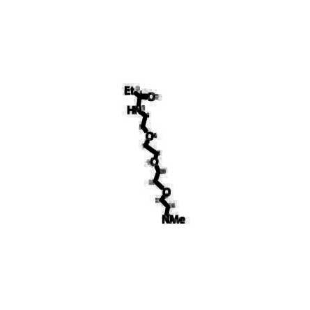 CCC(=O)NCCOCCOCCOCCNC